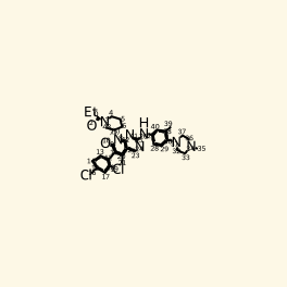 CCC(=O)N1CCC[C@H](n2c(=O)c(-c3ccc(Cl)cc3Cl)c(C)c3cnc(Nc4ccc(N5CCN(C)CC5)c(C)c4)nc32)C1